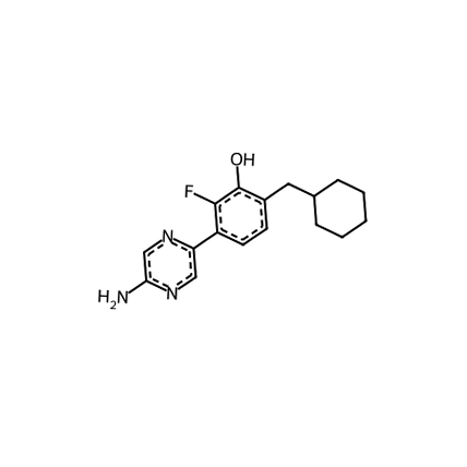 Nc1cnc(-c2ccc(CC3CCCCC3)c(O)c2F)cn1